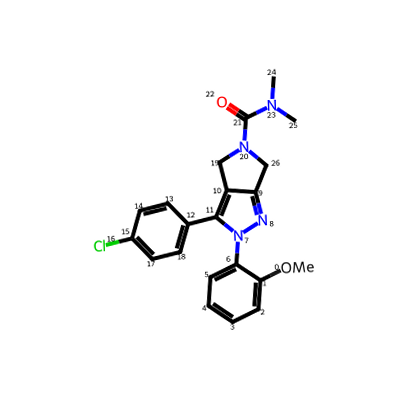 COc1ccccc1-n1nc2c(c1-c1ccc(Cl)cc1)CN(C(=O)N(C)C)C2